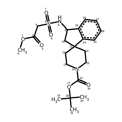 COC(=O)CS(=O)(=O)NC1CC2(CCN(C(=O)OC(C)(C)C)CC2)c2ccccc21